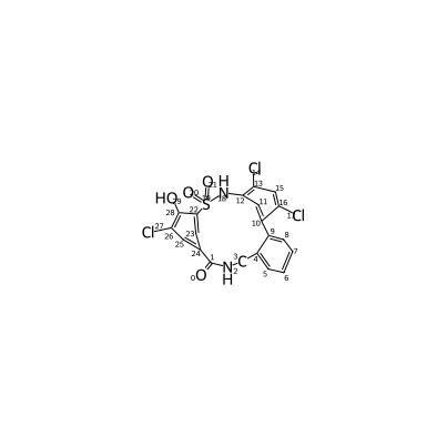 O=C1NCc2ccccc2-c2cc(c(Cl)cc2Cl)NS(=O)(=O)c2cc1cc(Cl)c2O